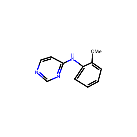 COc1ccccc1Nc1ccncn1